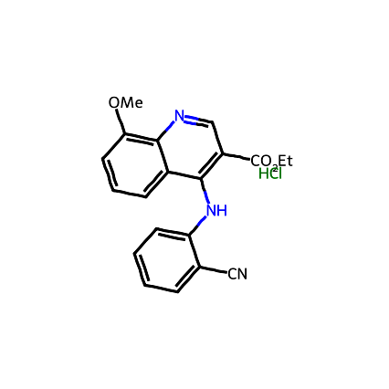 CCOC(=O)c1cnc2c(OC)cccc2c1Nc1ccccc1C#N.Cl